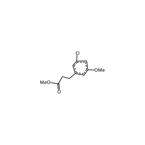 COC(=O)CCc1cc(Cl)cc(OC)c1